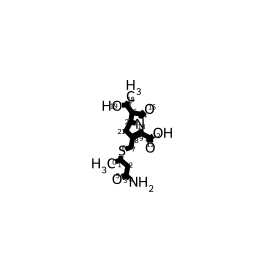 CC(CC(N)=O)SCC1=C(C(=O)O)N2C(=O)C(C(C)O)C2C1